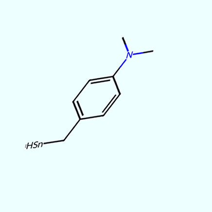 CN(C)c1ccc([CH2][SnH])cc1